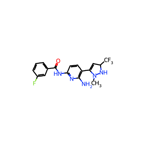 CN1NC(C(F)(F)F)C=C1c1ccc(NC(=O)c2cccc(F)c2)nc1N